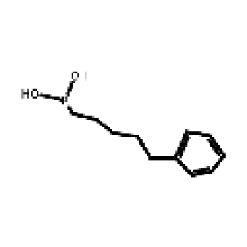 OB(O)CCCCCc1ccccc1